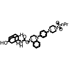 CCCS(=O)(=O)N1CCN(c2ccc(N3CCN(OC(=O)NC4[C@@H]5CC6C[C@H]4CC(O)(C6)C5)c4ccccc43)cc2)CC1